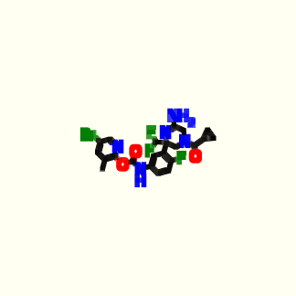 Cc1cc(Br)cnc1OC(=O)Nc1ccc(F)c(C2(C(F)F)CN(C(=O)C3CC3)CC(N)=N2)c1